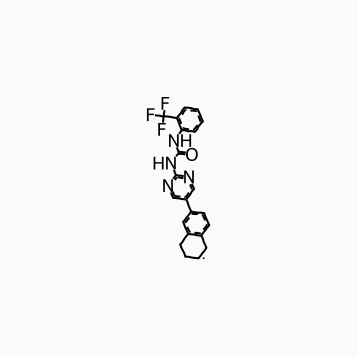 O=C(Nc1ncc(-c2ccc3c(c2)CC[CH]C3)cn1)Nc1ccccc1C(F)(F)F